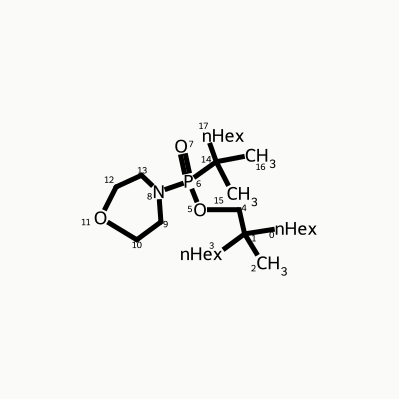 CCCCCCC(C)(CCCCCC)COP(=O)(N1CCOCC1)C(C)(C)CCCCCC